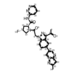 CC(=O)c1nn(CC(=O)N2C[C@H](F)C[C@H]2C(=O)Nc2cccnn2)c2ccc(-c3cnc4cc(C)nn4c3)cc12